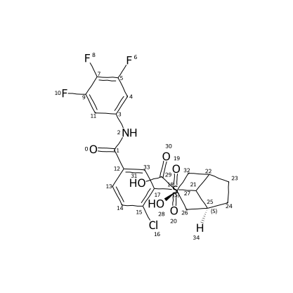 O=C(Nc1cc(F)c(F)c(F)c1)c1ccc(Cl)c(S(=O)(=O)C2C3CC[C@H]2C[C@](O)(C(=O)O)C3)c1